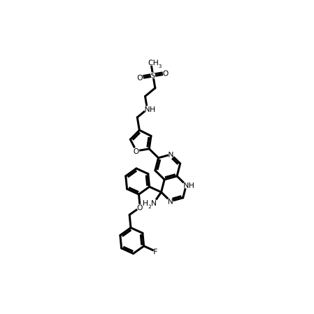 CS(=O)(=O)CCNCc1coc(-c2cc3c(cn2)NC=NC3(N)c2ccccc2OCc2cccc(F)c2)c1